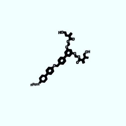 C=C(CCO)C(=O)OCOc1cc(OCOC(=O)C(=C)C(C)CO)cc(-c2ccc(COc3ccc(C4CCC(CCCCC)CC4)cc3)cc2)c1